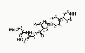 COCC(=O)N[C@@H](CNC(=O)c1sc(C2CCN(C3CCNCC3)CC2)nc1C(C)C)C(=O)O